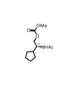 COC(=O)OC[C@@H](NC(C)=O)C1CCCC1